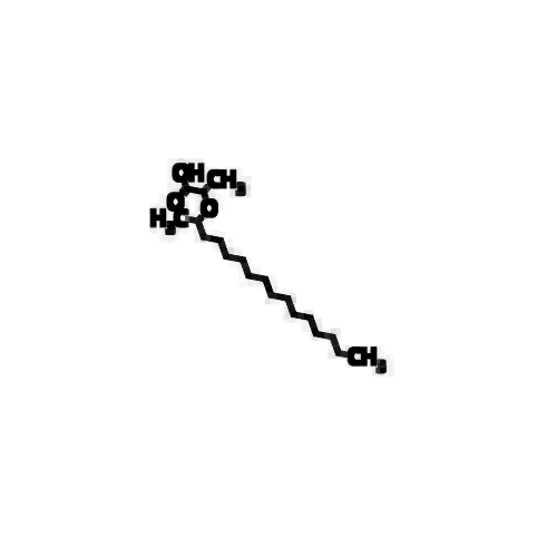 CCCCCCCCCCCCCCC(C)OC(C)C(=O)O